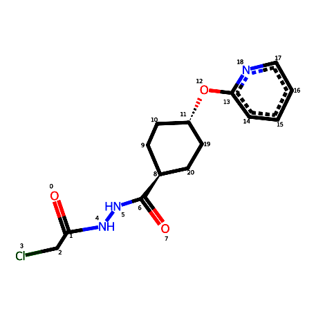 O=C(CCl)NNC(=O)[C@H]1CC[C@H](Oc2ccccn2)CC1